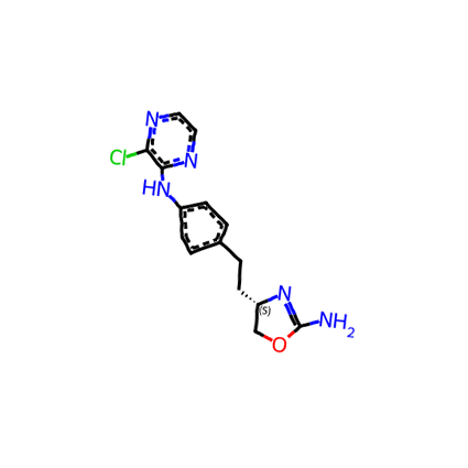 NC1=N[C@@H](CCc2ccc(Nc3nccnc3Cl)cc2)CO1